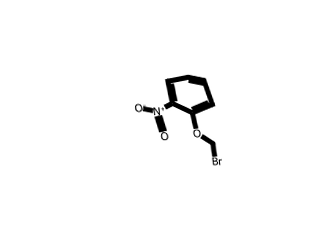 O=[N+]([O-])c1ccccc1OCBr